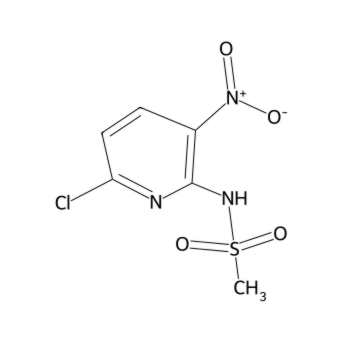 CS(=O)(=O)Nc1nc(Cl)ccc1[N+](=O)[O-]